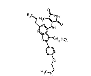 C=CCc1nc(NC2=C(C)C(=O)NC2=O)c2c(C)c(-c3ccc(OCCN(C)C)cc3)sc2n1.Cl